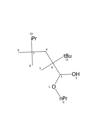 CCCOC(O)C(C)(CC(C)(C)C(C)C)C(C)(C)C